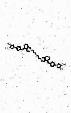 OC1CN(c2ccc(/C=C3\CCCc4c[n+](CCSSCC[n+]5ccc6c(c5)CCC/C6=C\c5ccc(N6CC(O)C(O)C6)cc5)ccc43)cc2)CC1O